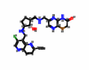 COc1ccc2ncc(F)c(CN[C@H]3CC[C@@H](CNCc4cnc5c(n4)NC(=O)CS5)[C@@H]3O)c2n1